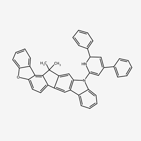 CC1(C)c2cc3c(cc2-c2ccc4oc5ccccc5c4c21)c1ccccc1n3C1=CC(c2ccccc2)=CC(c2ccccc2)N1